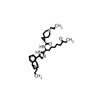 C=CCN1CCC2(CC1)C[C@@H]2C(=O)NC(CCCCCC(=O)CC)c1ncc(-c2cccc3c2C2CCC3N2CC=C)[nH]1